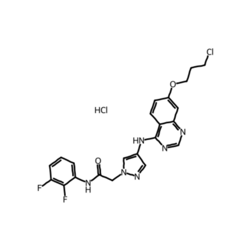 Cl.O=C(Cn1cc(Nc2ncnc3cc(OCCCCl)ccc23)cn1)Nc1cccc(F)c1F